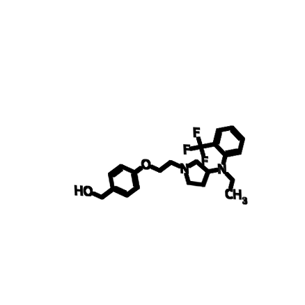 CCN(c1ccccc1C(F)(F)F)C1CCN(CCOc2ccc(CO)cc2)C1